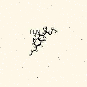 CCCc1cnc2c(N)c(C(=O)OCC)oc2c1